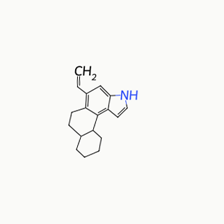 C=Cc1cc2[nH]ccc2c2c1CCC1CCCCC21